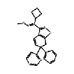 CON=C(c1n[nH]c2c1C=CC(c1ccccc1)(c1ccncn1)C2)C1CCC1